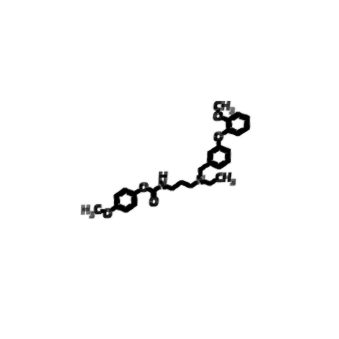 CCN(CCCNC(=O)Oc1ccc(OC)cc1)Cc1cccc(Oc2ccccc2OC)c1